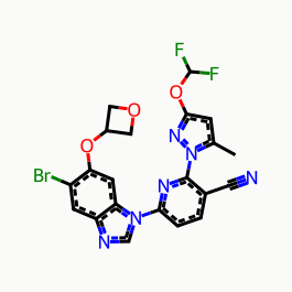 Cc1cc(OC(F)F)nn1-c1nc(-n2cnc3cc(Br)c(OC4COC4)cc32)ccc1C#N